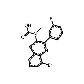 CN(C(=O)O)c1cc2cccc(Br)c2nc1-c1cccc(F)c1